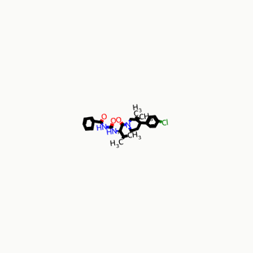 CC(C)[C@@H](NC(=O)NC(=O)c1ccccc1)C(=O)N1CCC(c2ccc(Cl)cc2)C(C)(C)C1